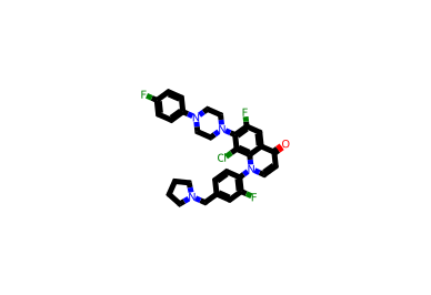 O=c1ccn(-c2ccc(CN3CCCC3)cc2F)c2c(Cl)c(N3CCN(c4ccc(F)cc4)CC3)c(F)cc12